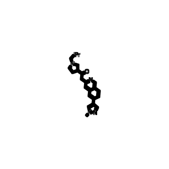 CC(C)CN1CCC(C(=O)Cc2cc3cc(-c4cnn(C)c4)ccc3cn2)C1